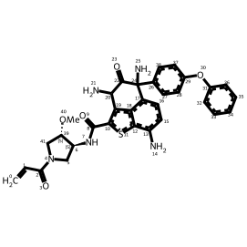 C=CC(=O)N1C[C@H](NC(=O)c2sc3c(N)ccc4c3c2C(N)C(=O)C4(N)c2ccc(Oc3ccccc3)cc2)[C@@H](OC)C1